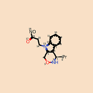 CC(C)[C@H]1NOCc2c1c1ccccc1n2CCC(=O)N=O